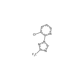 FC(F)(F)c1n[c]n(-c2ncccc2Cl)n1